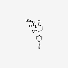 C#Cc1ccc(C2CCC(=O)N(C(=O)OC(C)(C)C)C2=O)cc1